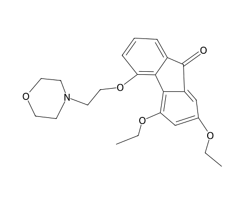 CCOc1cc(OCC)c2c(c1)C(=O)c1cccc(OCCN3CCOCC3)c1-2